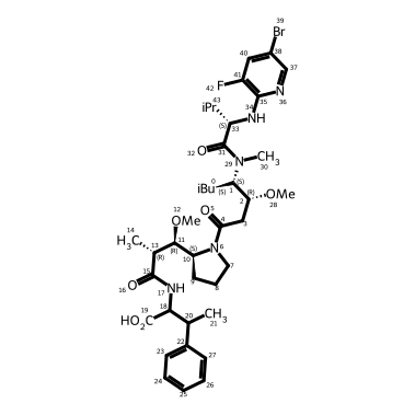 CC[C@H](C)[C@@H]([C@@H](CC(=O)N1CCC[C@H]1[C@H](OC)[C@@H](C)C(=O)NC(C(=O)O)C(C)c1ccccc1)OC)N(C)C(=O)[C@@H](Nc1ncc(Br)cc1F)C(C)C